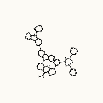 N=c1c2cccc(-c3cccc(-c4nc(-c5ccccc5)nc(-c5ccccc5)n4)c3)c2oc2c(-n3c4ccccc4c4cc(-c5ccc6c(c5)c5ccccc5n6-c5ccccc5)ccc43)cccc12